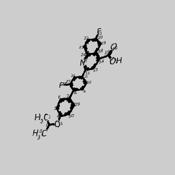 CC(C)Oc1ccc(-c2ccc(-c3cc(C(=O)O)c4cc(F)ccc4n3)cc2F)cc1